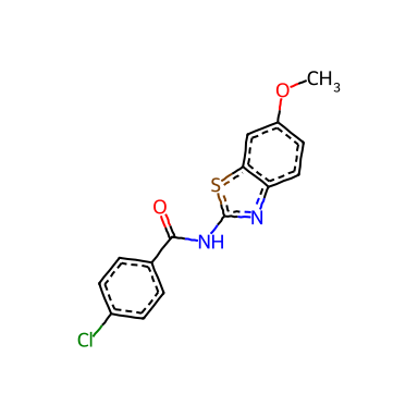 COc1ccc2nc(NC(=O)c3ccc(Cl)cc3)sc2c1